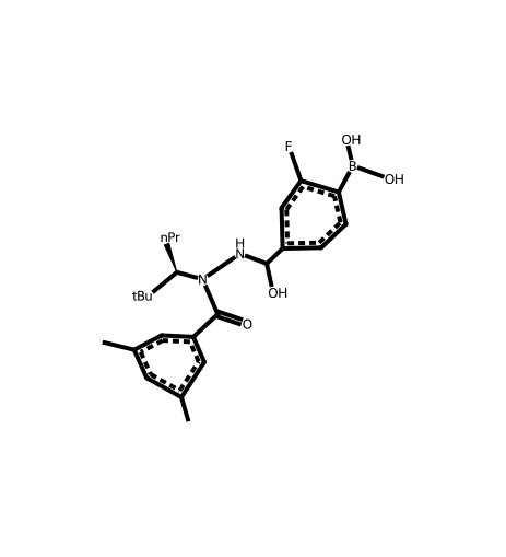 CCC[C@@H](N(NC(O)c1ccc(B(O)O)c(F)c1)C(=O)c1cc(C)cc(C)c1)C(C)(C)C